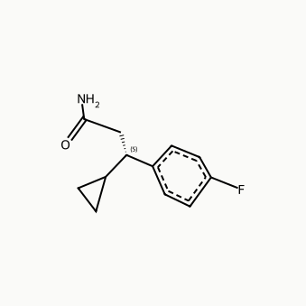 NC(=O)C[C@H](c1ccc(F)cc1)C1CC1